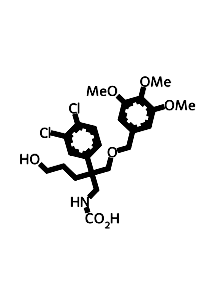 COc1cc(COCC(CCCO)(CNC(=O)O)c2ccc(Cl)c(Cl)c2)cc(OC)c1OC